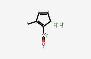 CC1=[C]([V+2]=[O])CC=C1.[Cl-].[Cl-]